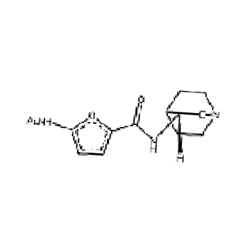 CC(=O)Nc1ccc(C(=O)N[C@H]2CN3CCC2CC3)o1